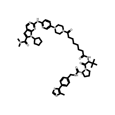 Cc1ncsc1-c1ccc(CNC(=O)[C@@H]2CCCN2C(=O)[C@@H](NC(=O)CCCCCCC(=O)N2CCN(c3ccc(Nc4ncc5cc(C(=O)N(C)C)n(C6CCCC6)c5n4)nc3)CC2)C(C)(C)C)cc1